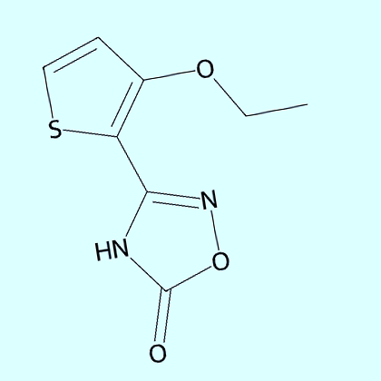 CCOc1ccsc1-c1noc(=O)[nH]1